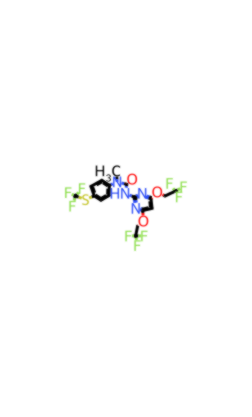 CN(C(=O)Nc1nc(OCC(F)(F)F)cc(OCC(F)(F)F)n1)c1ccc(SC(F)(F)F)cc1